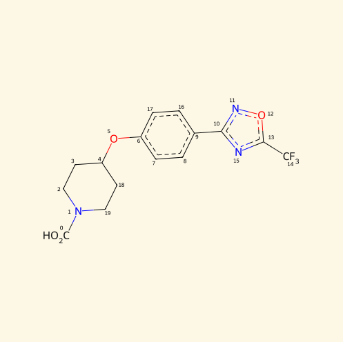 O=C(O)N1CCC(Oc2ccc(-c3noc(C(F)(F)F)n3)cc2)CC1